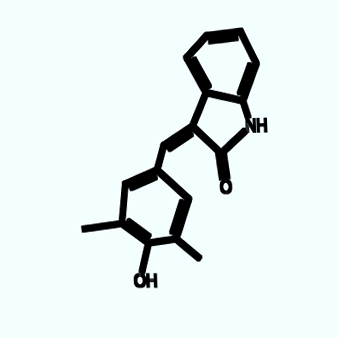 Cc1cc(C=C2C(=O)Nc3ccccc32)cc(C)c1O